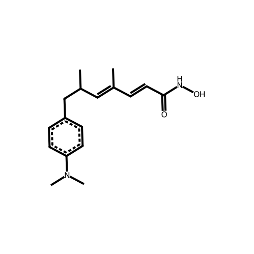 CC(/C=C/C(=O)NO)=C\C(C)Cc1ccc(N(C)C)cc1